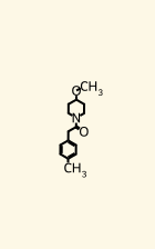 COC1CCN(C(=O)Cc2ccc(C)cc2)CC1